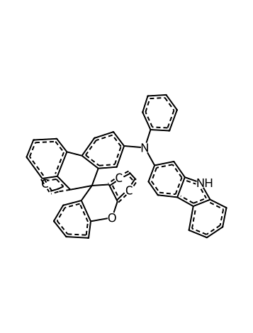 c1ccc(N(c2ccc3c(c2)C2(c4ccccc4Oc4ccccc42)c2cccc4cccc-3c24)c2ccc3c(c2)[nH]c2ccccc23)cc1